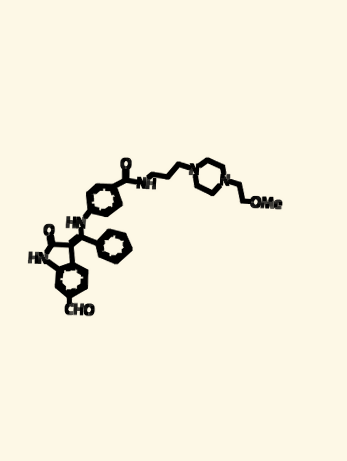 COCCN1CCN(CCCNC(=O)c2ccc(N/C(=C3\C(=O)Nc4cc(C=O)ccc43)c3ccccc3)cc2)CC1